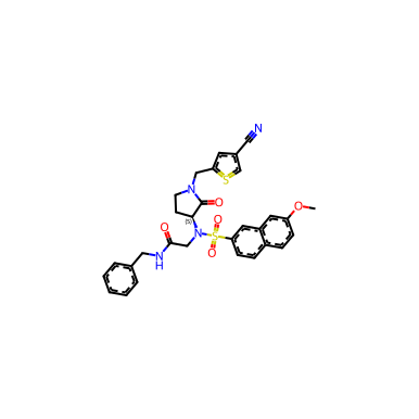 COc1ccc2ccc(S(=O)(=O)N(CC(=O)NCc3ccccc3)[C@H]3CCN(Cc4cc(C#N)cs4)C3=O)cc2c1